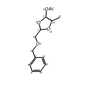 CC(=O)OC1OC(COCc2ccccc2)OC1C